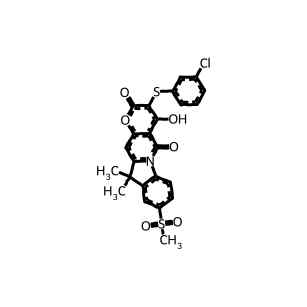 CC1(C)c2cc(S(C)(=O)=O)ccc2-n2c1cc1oc(=O)c(Sc3cccc(Cl)c3)c(O)c1c2=O